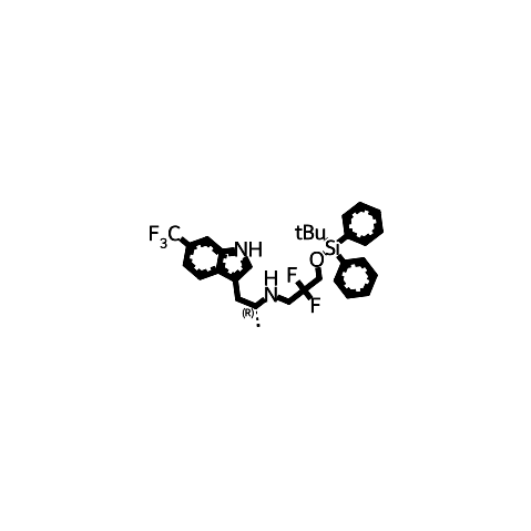 C[C@H](Cc1c[nH]c2cc(C(F)(F)F)ccc12)NCC(F)(F)CO[Si](c1ccccc1)(c1ccccc1)C(C)(C)C